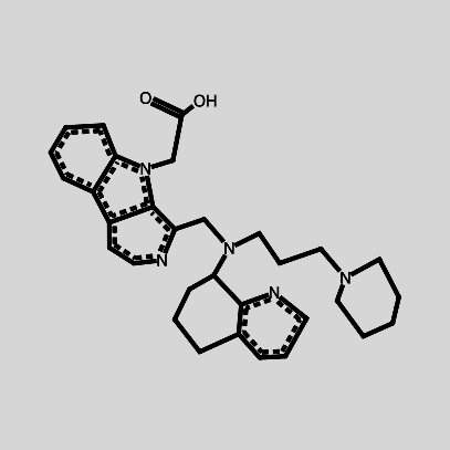 O=C(O)Cn1c2ccccc2c2ccnc(CN(CCCN3CCCCC3)C3CCCc4cccnc43)c21